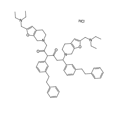 CCN(CC)Cc1cc2c(o1)CN(CC(=O)C(C(=O)CC(c1cccc(CCc3ccccc3)c1)N1CCc3cc(CN(CC)CC)oc3C1)c1cccc(CCc3ccccc3)c1)CC2.Cl